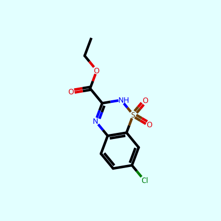 CCOC(=O)C1=Nc2ccc(Cl)cc2S(=O)(=O)N1